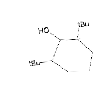 CC(C)(C)[C]1CCCC(C(C)(C)C)C1O